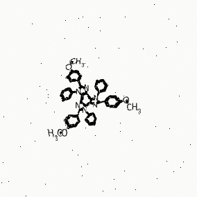 COc1ccc(-c2nc3c(c4nc(-c5ccc(OC)cc5)n(-c5ccccc5)c4c4nc(-c5ccc(OC)cc5)n(-c5ccccc5)c34)n2-c2ccccc2)cc1